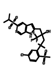 CC(C)S(=O)(=O)c1cc2cc(CC(O)(CC(C)(C)c3cc(Cl)ccc3S(C)(=O)=O)C(F)(F)F)[nH]c2cn1